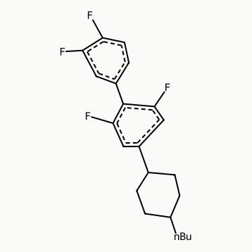 CCCCC1CCC(c2cc(F)c(-c3ccc(F)c(F)c3)c(F)c2)CC1